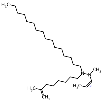 C=C(C)CCCCCCN(CCCCCCCCCCCCCCCC)N(C)/C=C\C